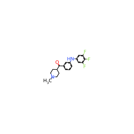 CN1CCC(C(=O)c2cccc(Nc3cc(F)c(F)c(F)c3)c2)CC1